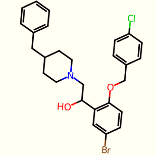 OC(CN1CCC(Cc2ccccc2)CC1)c1cc(Br)ccc1OCc1ccc(Cl)cc1